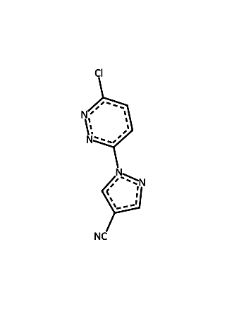 N#Cc1cnn(-c2ccc(Cl)nn2)c1